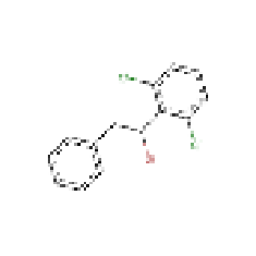 Clc1cccc(Cl)c1C(Br)Cc1ccccc1